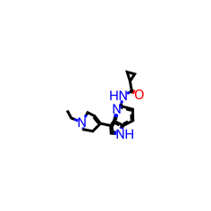 CCN1CC=C(c2c[nH]c3ccc(NC(=O)C4CC4)nc23)CC1